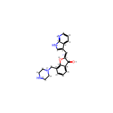 O=C1/C(=C/c2c[nH]c3ncccc23)Oc2c(CN3CCNCC3)cccc21